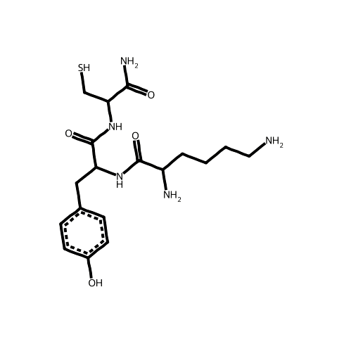 NCCCCC(N)C(=O)NC(Cc1ccc(O)cc1)C(=O)NC(CS)C(N)=O